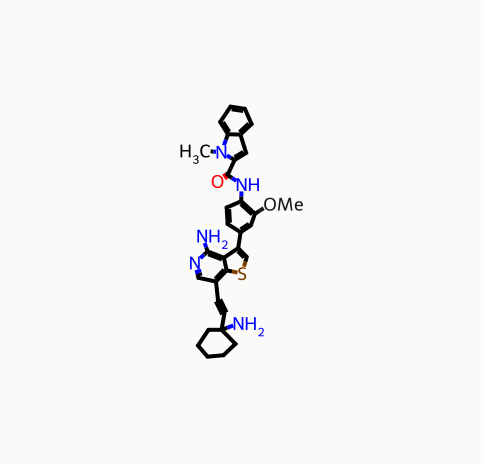 COc1cc(-c2csc3c(C#CC4(N)CCCCC4)cnc(N)c23)ccc1NC(=O)c1cc2ccccc2n1C